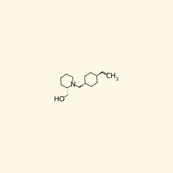 C=C[C@H]1CC[C@@H](CN2CCCC[C@H]2CO)CC1